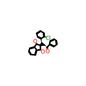 O=C(c1ccccc1)[C@H]1[C@H](c2ccccc2Cl)C12C(=O)c1ccccc1C2=O